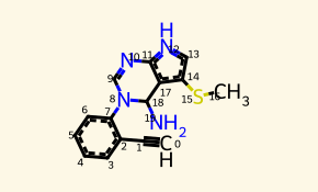 C#Cc1ccccc1N1C=Nc2[nH]cc(SC)c2C1N